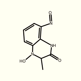 CC1C(=O)Nc2c(N=O)cccc2N1O